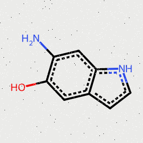 Nc1cc2[nH]ccc2cc1O